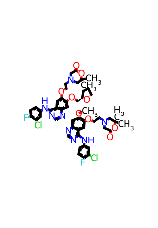 CC1(C)CN(CCOc2cc3c(Nc4ccc(F)c(Cl)c4)ncnc3cc2OC[C@H]2CCCO2)CC(=O)O1.COc1cc2ncnc(Nc3ccc(F)c(Cl)c3)c2cc1OCCN1CC(=O)OC(C)(C)C1